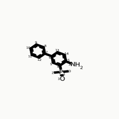 CP(C)(=O)c1cc(-c2ccccc2)ccc1N